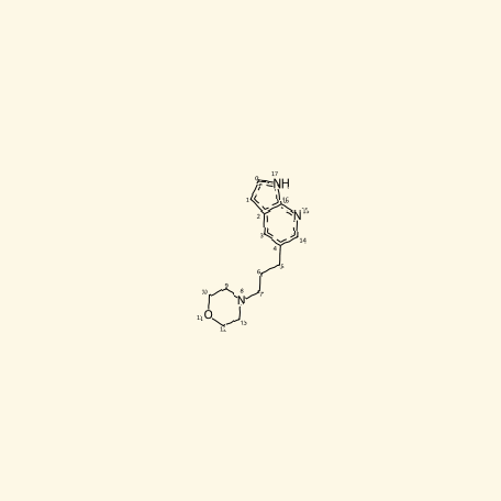 c1cc2cc(CCCN3CCOCC3)cnc2[nH]1